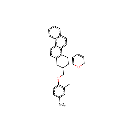 C1=CCOC=C1.Cc1cc([N+](=O)[O-])ccc1OCC1CCc2c(ccc3c2ccc2ccccc23)C1